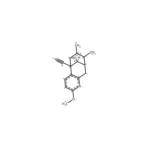 COc1ccc2c(n1)CC1C(C)C(C)CC2(C#N)[C@H]1O